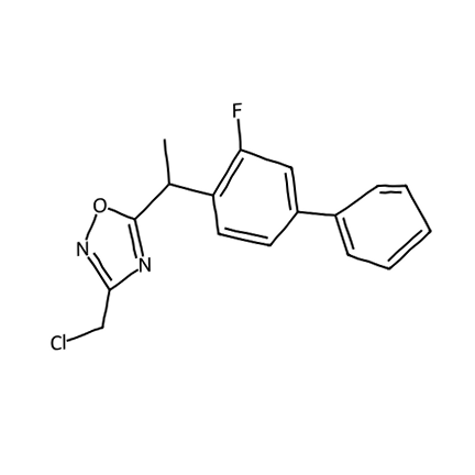 CC(c1nc(CCl)no1)c1ccc(-c2ccccc2)cc1F